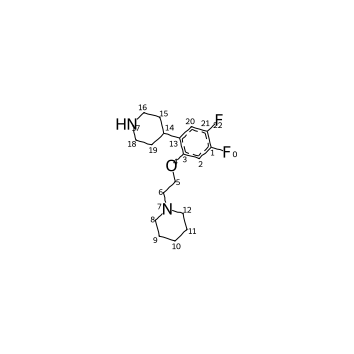 Fc1cc(OCCN2CCCCC2)c(C2CCNCC2)cc1F